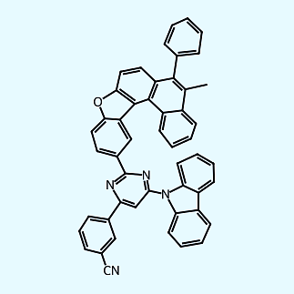 Cc1c(-c2ccccc2)c2ccc3oc4ccc(-c5nc(-c6cccc(C#N)c6)cc(-n6c7ccccc7c7ccccc76)n5)cc4c3c2c2ccccc12